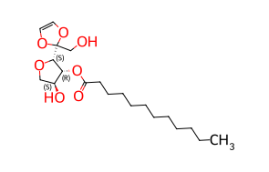 CCCCCCCCCCCC(=O)O[C@@H]1[C@@H](O)CO[C@@H]1C1(CO)OC=CO1